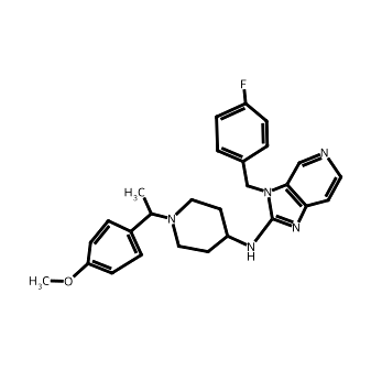 COc1ccc(C(C)N2CCC(Nc3nc4ccncc4n3Cc3ccc(F)cc3)CC2)cc1